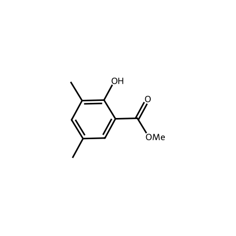 COC(=O)c1cc(C)cc(C)c1O